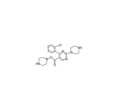 O=C(ON1CCNCC1)c1cnc(N2CCNCC2)nc1-c1ccccc1Cl